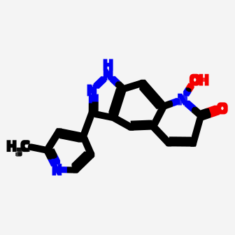 Cc1cc(-c2n[nH]c3cc4c(ccc(=O)n4O)cc23)ccn1